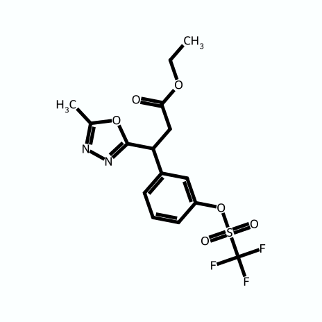 CCOC(=O)CC(c1cccc(OS(=O)(=O)C(F)(F)F)c1)c1nnc(C)o1